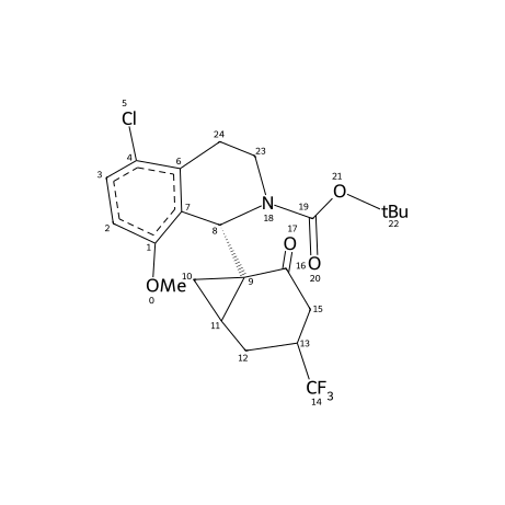 COc1ccc(Cl)c2c1[C@@H](C13CC1CC(C(F)(F)F)CC3=O)N(C(=O)OC(C)(C)C)CC2